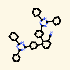 N#Cc1cccc(-c2ccc(-c3nc(-c4ccccc4)nc(-c4ccccc4)n3)cc2)c1-c1cccc(-c2nc(-c3ccccc3)nc(-c3ccccc3)n2)c1